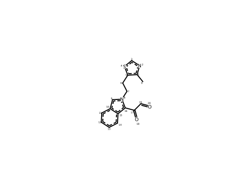 Cc1ncsc1CCn1cc2ccccc2c1C(=O)C=O